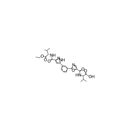 CCOC(=O)[C@@H](NC(=O)c1cc(-c2cccc(-c3ncc(C(=O)NC(C(=O)O)C(C)C)o3)c2)[nH]n1)C(C)C